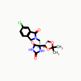 CC1(C)OC[C@@H]([C@@]2(CN3Cc4ccc(Cl)cc4C3=O)NC(=O)NC2=O)O1